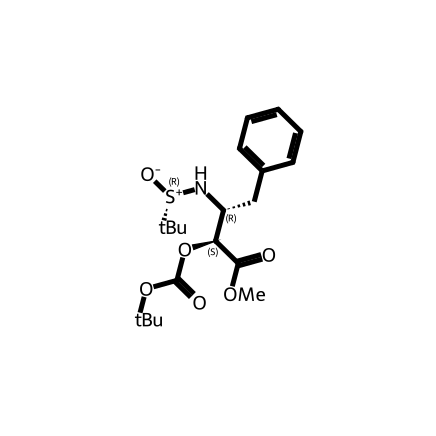 COC(=O)[C@@H](OC(=O)OC(C)(C)C)[C@@H](Cc1ccccc1)N[S@@+]([O-])C(C)(C)C